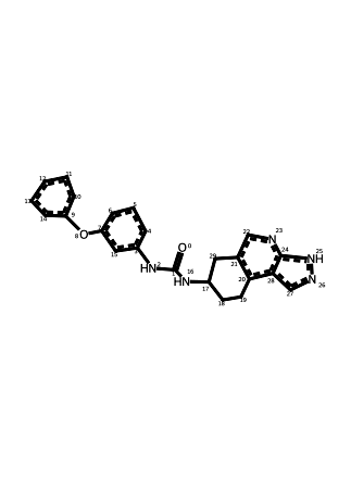 O=C(Nc1cccc(Oc2ccccc2)c1)NC1CCc2c(cnc3[nH]ncc23)C1